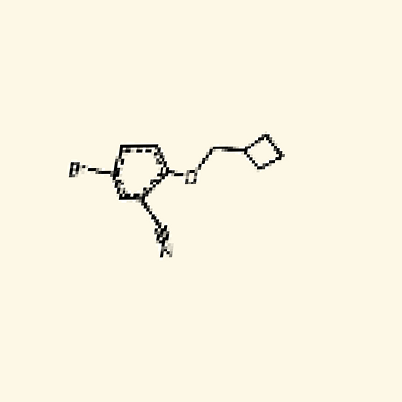 N#Cc1cc(Br)ccc1OCC1CCC1